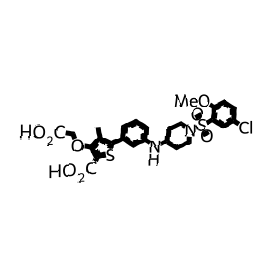 COc1ccc(Cl)cc1S(=O)(=O)N1CCC(Nc2cccc(-c3sc(C(=O)O)c(OCC(=O)O)c3C)c2)CC1